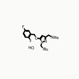 CNCc1cc(OCc2cc(F)ccc2F)n(CC(C)(C)C)n1.Cl